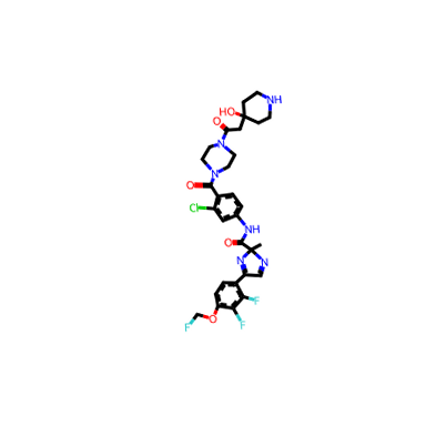 CC1(C(=O)Nc2ccc(C(=O)N3CCN(C(=O)CC4(O)CCNCC4)CC3)c(Cl)c2)N=CC(c2ccc(OCF)c(F)c2F)=N1